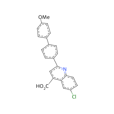 COc1ccc(-c2ccc(-c3cc(C(=O)O)c4cc(Cl)ccc4n3)cc2)cc1